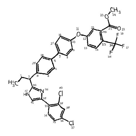 CCC(c1ccc(-c2ccc(Oc3ccc(C(F)(F)F)c(C(=O)OC)c3)cc2)cc1)c1nc(-c2ccc(Cl)cc2Cl)c[nH]1